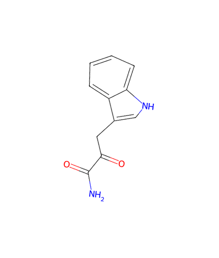 NC(=O)C(=O)Cc1c[nH]c2ccccc12